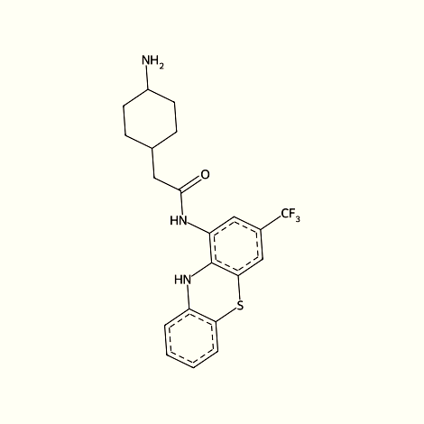 NC1CCC(CC(=O)Nc2cc(C(F)(F)F)cc3c2Nc2ccccc2S3)CC1